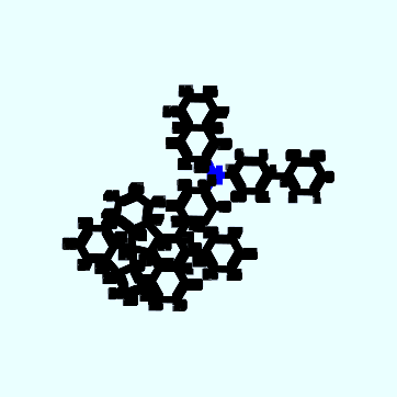 c1ccc(-c2ccc(N(c3ccc(-c4c5c(c6ccccc6c4-c4ccccc4)C4(c6ccccc6-c6ccccc64)c4ccccc4-5)cc3)c3ccc4ccccc4c3)cc2)cc1